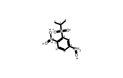 CC(C)S(=O)(=O)c1cc([PH2]=O)ccc1[N+](=O)[O-]